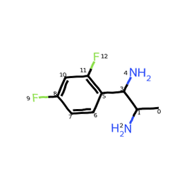 CC(N)C(N)c1ccc(F)cc1F